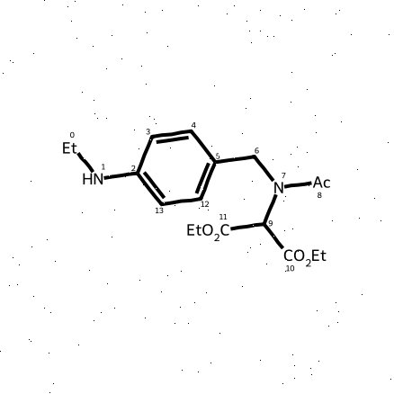 CCNc1ccc(CN(C(C)=O)C(C(=O)OCC)C(=O)OCC)cc1